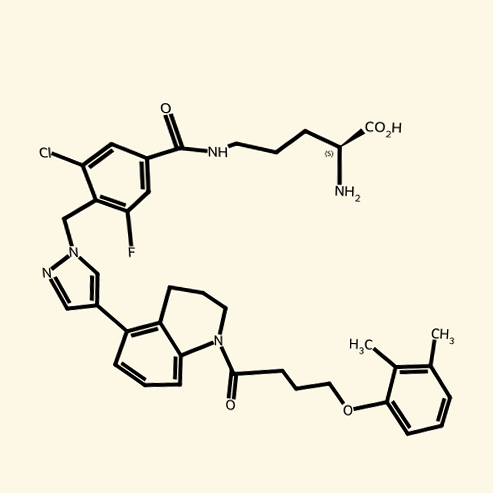 Cc1cccc(OCCCC(=O)N2CCCc3c(-c4cnn(Cc5c(F)cc(C(=O)NCCC[C@H](N)C(=O)O)cc5Cl)c4)cccc32)c1C